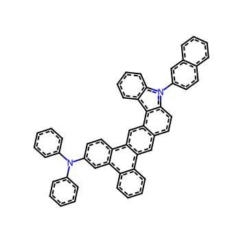 c1ccc(N(c2ccccc2)c2ccc3c(c2)c2ccccc2c2cc4ccc5c(c4cc32)c2ccccc2n5-c2ccc3ccccc3c2)cc1